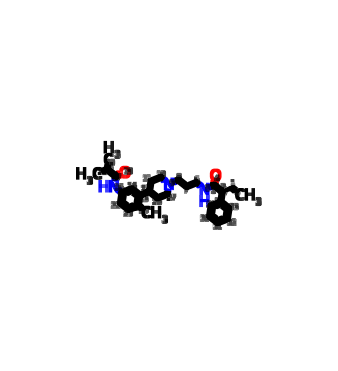 CC[C@H](C(=O)NCCCN1CCC(c2cc(NC(=O)C(C)C)ccc2C)CC1)c1ccccc1